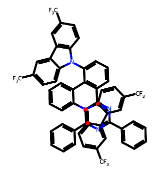 FC(F)(F)c1ccc2c(c1)c1cc(C(F)(F)F)ccc1n2-c1ccccc1-c1c(-c2cc(-c3ccccc3)nc(-c3ccccc3)n2)cccc1-n1c2ccc(C(F)(F)F)cc2c2cc(C(F)(F)F)ccc21